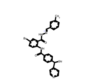 Cc1cccc(/C=N/NC(=O)c2cc(Br)ccc2NC(=O)c2ccc(C(S)c3ccncc3)cc2)c1